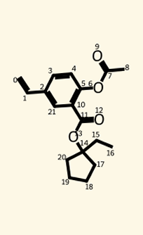 C=Cc1ccc(OC(C)=O)c(C(=O)OC2(CC)CCCC2)c1